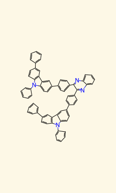 c1ccc(-c2ccc3c(c2)c2cc(-c4ccc(-c5nc6ccccc6nc5-c5ccc(-c6ccc7c(c6)c6cc(-c8ccccc8)ccc6n7-c6ccccc6)cc5)cc4)ccc2n3-c2ccccc2)cc1